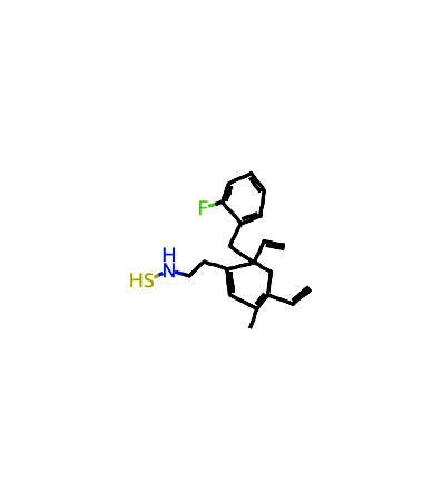 C=CC1=C(C)C=C(CCNS)C(C=C)(Cc2ccccc2F)C1